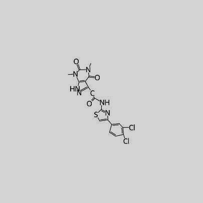 Cn1c(=O)c2c(CC(=O)Nc3nc(-c4ccc(Cl)c(Cl)c4)cs3)n[nH]c2n(C)c1=O